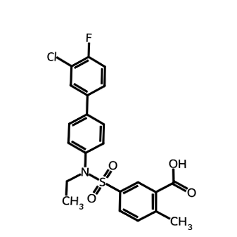 CCN(c1ccc(-c2ccc(F)c(Cl)c2)cc1)S(=O)(=O)c1ccc(C)c(C(=O)O)c1